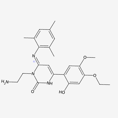 CCOc1cc(O)c(-c2c/c(=N\c3c(C)cc(C)cc3C)n(CCN)c(=O)[nH]2)cc1OC